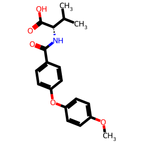 COc1ccc(Oc2ccc(C(=O)N[C@H](C(=O)O)C(C)C)cc2)cc1